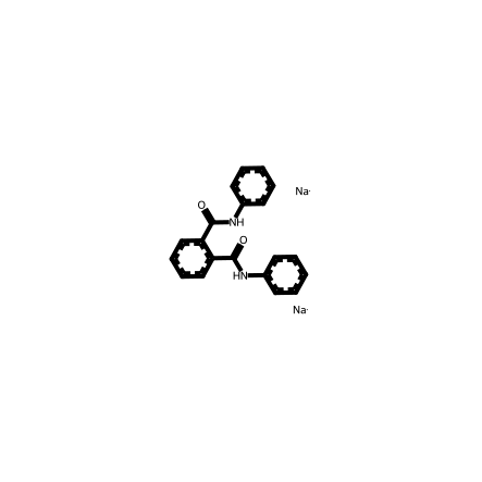 O=C(Nc1ccccc1)c1ccccc1C(=O)Nc1ccccc1.[Na].[Na]